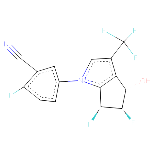 N#Cc1cc(-n2cc(C(F)(F)F)c3c2[C@H](F)[C@H](F)[C@H]3O)ccc1F